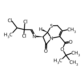 CC1=C(C(=O)OC(C)(C)C)N2C(=O)[C@@H](N=CC(Cl)(Cl)C(C)Cl)[C@@H]2SC1